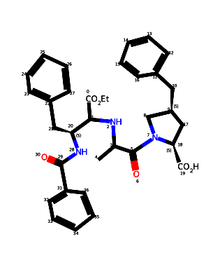 CCOC(=O)C(NC(C)C(=O)N1C[C@@H](Cc2ccccc2)C[C@H]1C(=O)O)[C@H](Cc1ccccc1)NC(=O)c1ccccc1